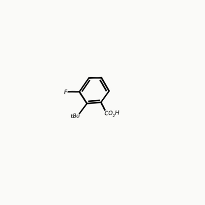 CC(C)(C)c1c(F)cccc1C(=O)O